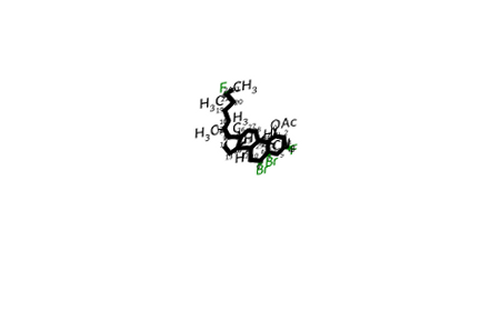 CC(=O)O[C@H]1CC(F)CC2(Br)C(Br)C[C@H]3[C@@H]4CC[C@H]([C@H](C)CCCC(C)(C)F)[C@@]4(C)CC[C@@H]3[C@@]12C